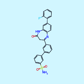 NS(=O)(=O)c1cccc(-c2cccc(C3=Nc4ccc(-c5ccccc5F)cc4NC(=O)C3)c2)c1